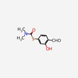 CN(C)C(=O)Sc1ccc(C=O)c(O)c1